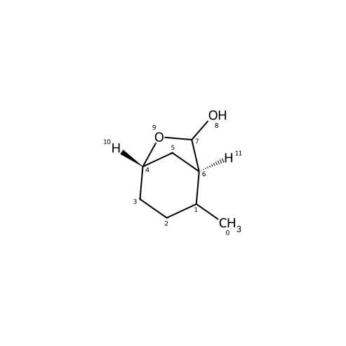 CC1CC[C@H]2C[C@H]1C(O)O2